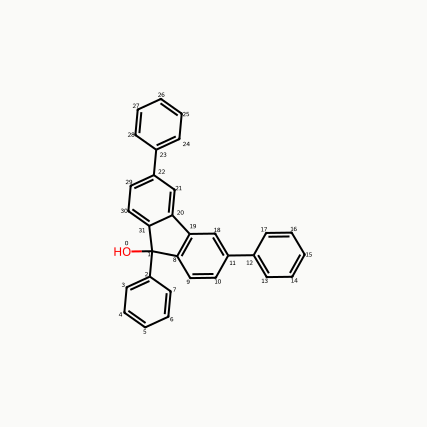 OC1(c2ccccc2)c2ccc(-c3ccccc3)cc2-c2cc(-c3ccccc3)ccc21